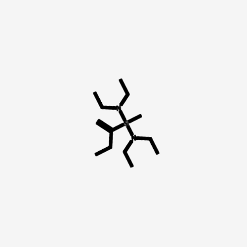 C=C(CC)[Si](C)(N(CC)CC)N(CC)CC